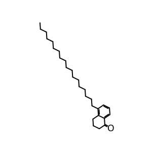 CCCCCCCCCCCCCCCCCCc1cccc2c1CCCC2=O